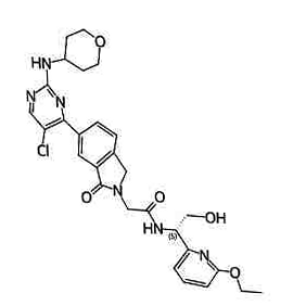 CCOc1cccc([C@@H](CO)NC(=O)CN2Cc3ccc(-c4nc(NC5CCOCC5)ncc4Cl)cc3C2=O)n1